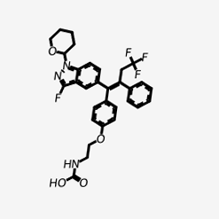 O=C(O)NCCOc1ccc(/C(=C(/CC(F)(F)F)c2ccccc2)c2ccc3c(c2)c(F)nn3C2CCCCO2)cc1